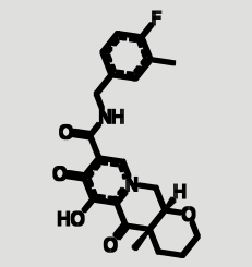 Cc1cc(CNC(=O)c2cn3c(c(O)c2=O)C(=O)[C@@]2(C)CCCO[C@H]2C3)ccc1F